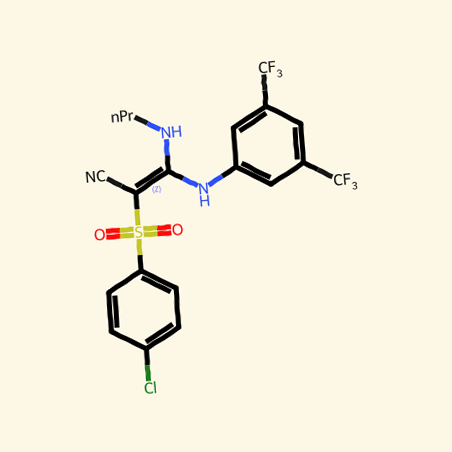 CCCN/C(Nc1cc(C(F)(F)F)cc(C(F)(F)F)c1)=C(\C#N)S(=O)(=O)c1ccc(Cl)cc1